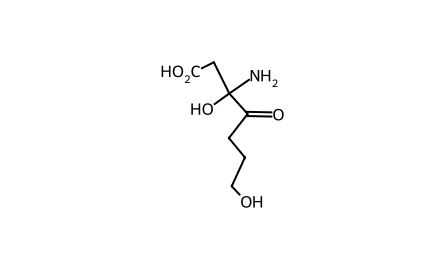 NC(O)(CC(=O)O)C(=O)CCCO